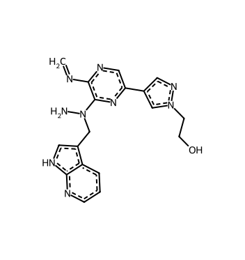 C=Nc1ncc(-c2cnn(CCO)c2)nc1N(N)Cc1c[nH]c2ncccc12